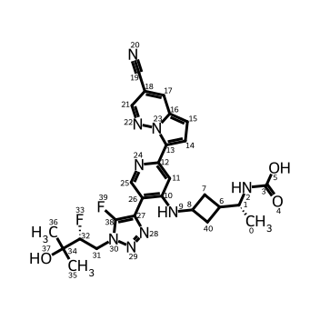 C[C@@H](NC(=O)O)C1CC(Nc2cc(-c3ccc4cc(C#N)cnn34)ncc2-c2nnn(C[C@@H](F)C(C)(C)O)c2F)C1